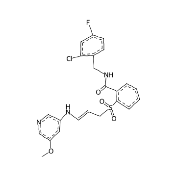 COc1cncc(NC=CCS(=O)(=O)c2ccccc2C(=O)NCc2ccc(F)cc2Cl)c1